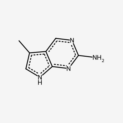 Cc1c[nH]c2nc(N)ncc12